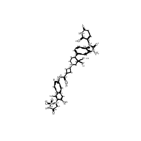 Cn1c(=O)n(C2CCC(=O)NC2=O)c2ccc(C3CCN(C4CC(C(=O)Nc5ccc6c(F)c(N7CC(=O)NS7(=O)=O)c(O)cc6c5)C4)CC3(F)F)cc21